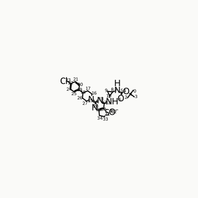 CC(C)(C)OC(=O)NC1C[C@@H]1Nc1nc(N2CCC(c3ccc(Cl)cc3)CC2)nc2c1[S+]([O-])CC2